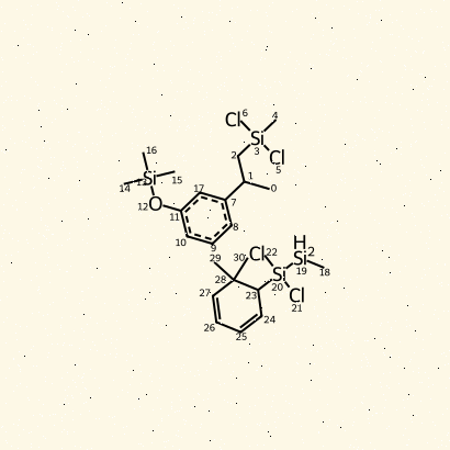 CC(C[Si](C)(Cl)Cl)c1cccc(O[Si](C)(C)C)c1.C[SiH2][Si](Cl)(Cl)C1C=CC=CC1(C)C